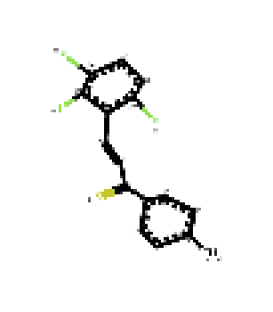 Cc1ccc(C(=S)C=Cc2c(F)ccc(F)c2F)cc1